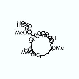 C=C1C(=O)N2CCCCC2C(=O)OC(C(C)CC2CCC(OC(=O)C(C)(CO)CO)C(OC)C2)CC(=O)C(C)/C=C(\C)C(O)C(OC)C(=O)C(C)CC(C)/C=C/C=C/C=C(\C)C(OC)CC2CCC(C)C1(O)O2